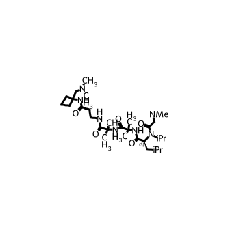 CNCC(=O)N(C(C)C)[C@@H](CC(C)C)C(=O)NC(C)(C)C(=O)NC(C)(C)C(=O)NCCC(=O)NC1(CN(C)C)CCC1